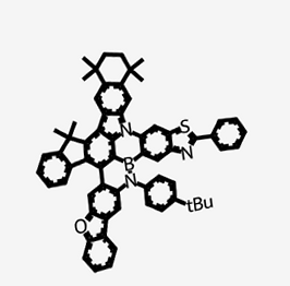 CC(C)(C)c1ccc(N2B3c4cc5nc(-c6ccccc6)sc5cc4-n4c5cc6c(cc5c5c7c(c(c3c54)-c3cc4oc5ccccc5c4cc32)-c2ccccc2C7(C)C)C(C)(C)CCC6(C)C)cc1